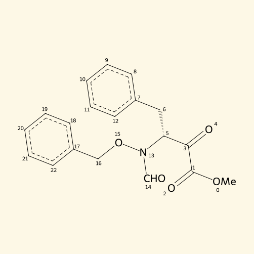 COC(=O)C(=O)[C@@H](Cc1ccccc1)N(C=O)OCc1ccccc1